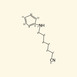 N#CCCCCCCNc1ccccc1